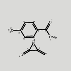 C=C1NC1=O.COC(=O)c1ccc(C(F)(F)F)cc1